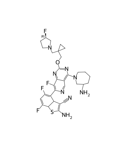 N#CC1=C(N)SC2C(F)=CC(F)=C(c3ncc4c(N5CCCCC(N)C5)nc(OCC5(CN6CC[C@@H](F)C6)CC5)nc4c3F)C12